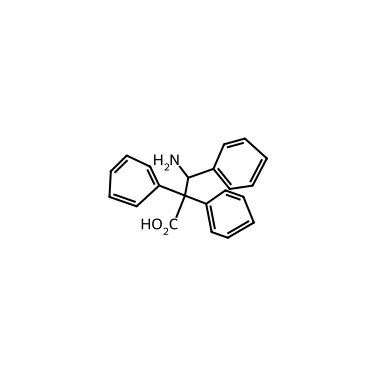 NC(c1ccccc1)C(C(=O)O)(c1ccccc1)c1ccccc1